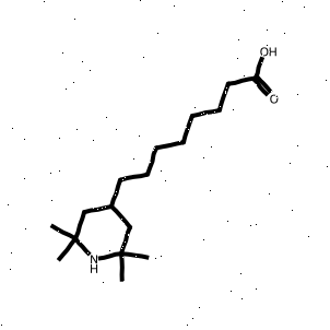 CC1(C)CC(CCCCCCCC(=O)O)CC(C)(C)N1